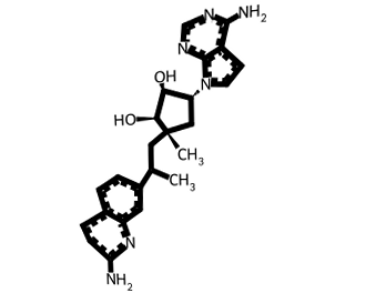 CC(C[C@@]1(C)C[C@@H](n2ccc3c(N)ncnc32)[C@H](O)[C@@H]1O)c1ccc2ccc(N)nc2c1